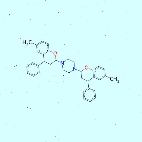 Cc1ccc2c(c1)C(c1ccccc1)CC(N1CCN(C3CC(c4ccccc4)c4cc(C)ccc4O3)CC1)O2